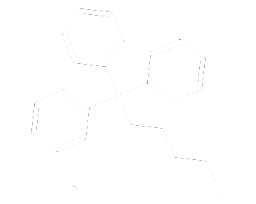 ClCCCC[P+](c1ccccc1)(c1ccccc1)c1ccccc1.[Br-]